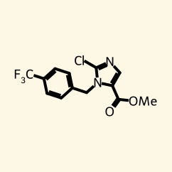 COC(=O)c1cnc(Cl)n1Cc1ccc(C(F)(F)F)cc1